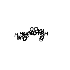 CC(NC(=O)CN1Cc2ccc(-c3nc(NC4CCOCC4)ncc3Cl)cc2C1=O)c1ccccc1Br